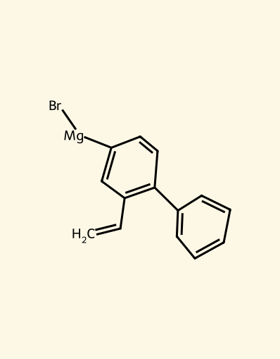 C=Cc1c[c]([Mg][Br])ccc1-c1ccccc1